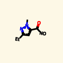 CCc1cc(C(=O)N=O)n(C)n1